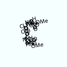 COC(=O)N[C@H](C(=O)N1CCC[C@H]1c1ncc(-c2ccc3oc4cc(-c5cnc([C@@H]6CCCN6C(=O)[C@@H](NC(=O)OC)C6CCOCC6)[nH]5)c(Cl)cc4c(=O)c3c2)[nH]1)C1CCOCC1